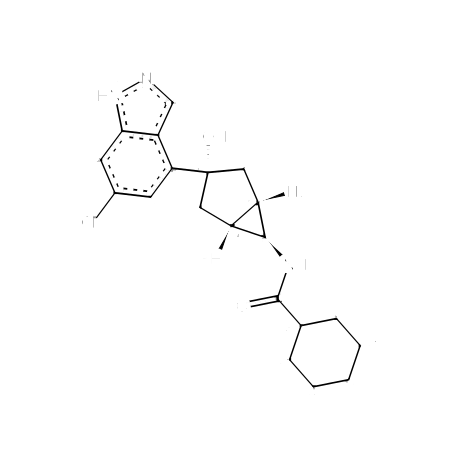 O=C(N[C@H]1[C@@H]2C[C@@](O)(c3cc(Cl)cc4[nH]ncc34)C[C@@H]21)C1CCCCC1